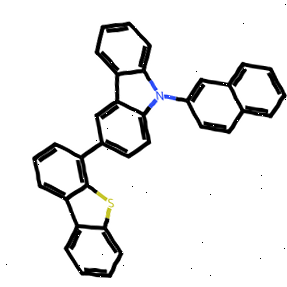 c1ccc2cc(-n3c4ccccc4c4cc(-c5cccc6c5sc5ccccc56)ccc43)ccc2c1